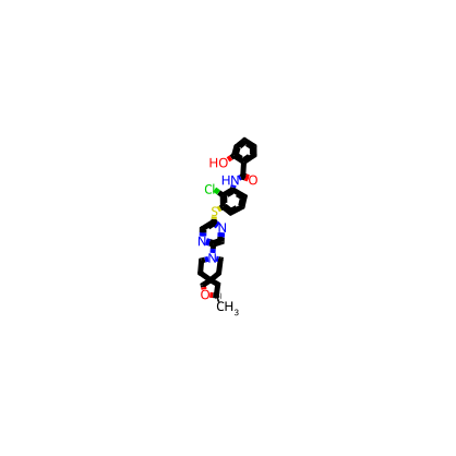 C[C@H]1CC2(CCN(c3cnc(Sc4cccc(NC(=O)c5ccccc5O)c4Cl)cn3)CC2)CO1